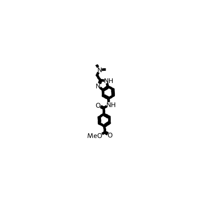 COC(=O)c1ccc(C(=O)Nc2ccc3[nH]c(CN(C)C)nc3c2)cc1